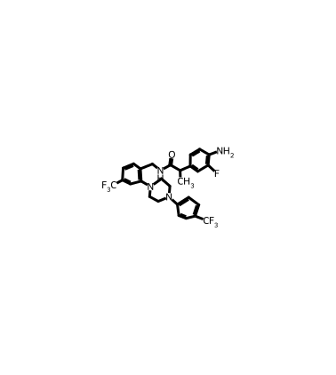 CC(C(=O)NCc1ccc(C(F)(F)F)cc1N1CCN(c2ccc(C(F)(F)F)cc2)CC1)c1ccc(N)c(F)c1